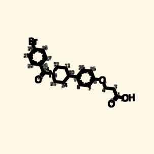 O=C(O)CCOc1ccc(C2CCN(C(=O)c3ccc(Br)cc3)CC2)cc1